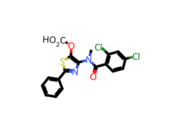 CN(C(=O)c1ccc(Cl)cc1Cl)c1nc(-c2ccccc2)sc1OC(=O)O